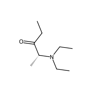 CCC(=O)[C@@H](C)N(CC)CC